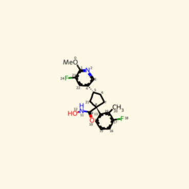 COc1ncc([C@@H]2CC[C@@](C(=O)NO)(c3cccc(F)c3C)C2)cc1F